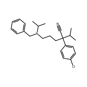 CC(C)N(CCCC(C#N)(c1ccc(Cl)cc1)C(C)C)Cc1ccccc1